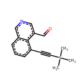 C[Si](C)(C)C#Cc1cccc2cncc(C=O)c12